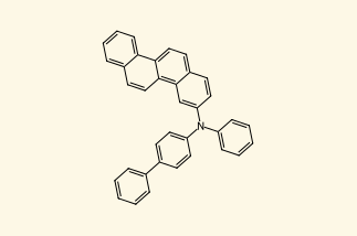 c1ccc(-c2ccc(N(c3ccccc3)c3ccc4ccc5c6ccccc6ccc5c4c3)cc2)cc1